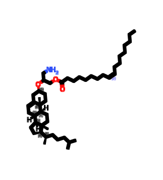 CCCCCCCC/C=C\CCCCCCCC(=O)OCC(CN)O[C@H]1CC[C@@]2(C)C(=CC[C@H]3[C@@H]4CC[C@H]([C@H](C)CCCC(C)C)[C@@]4(C)CC[C@@H]32)C1